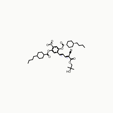 CCCCC1CCC(C(=O)Oc2cc(/C=C/C=C(\C#N)C(=O)OCC(C)(C)O)c(OC(=O)[C@H]3CC[C@H](CCCC)CC3)cc2[N+](=O)[O-])CC1